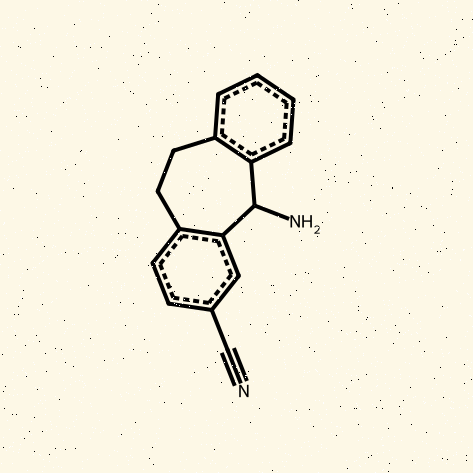 N#Cc1ccc2c(c1)C(N)c1ccccc1CC2